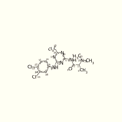 CC(C(=O)Nc1nc(Nc2ccc(Cl)c(Cl)c2)nc(C(Cl)(Cl)Cl)n1)N(C)C